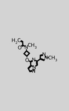 C=CC(=O)N(C)[C@H]1C[C@H](Oc2nc(-c3cnn(C)c3)cn3nccc23)C1